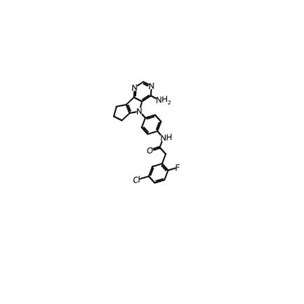 Nc1ncnc2c3c(n(-c4ccc(NC(=O)Cc5cc(Cl)ccc5F)cc4)c12)CCC3